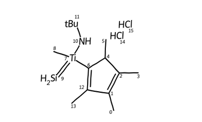 CC1=C(C)C(C)[C]([Ti]([CH3])(=[SiH2])[NH]C(C)(C)C)=C1C.Cl.Cl